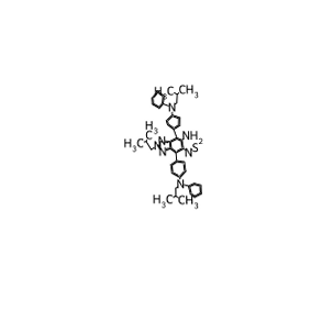 CC(C)CN(c1ccccc1)c1ccc(-c2c(N)c(N=S)c(-c3ccc(N(CC(C)C)c4ccccc4)cc3)c3nn(CC(C)C)nc23)cc1